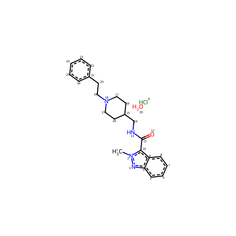 Cl.Cn1nc2ccccc2c1C(=O)NCC1CCN(CCc2ccccc2)CC1.O